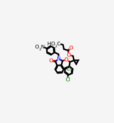 O=C(O)CCC(=O)OCC1(C(OC2c3c(Cl)cccc3C(=O)N2Cc2ccc([N+](=O)[O-])cc2)c2ccc(Cl)cc2)CC1